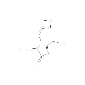 CC1C(=O)C=C(CCl)[SH]1CC1CCO1